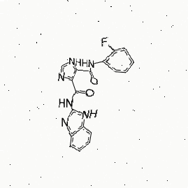 O=C(Nc1nc2ccccc2[nH]1)c1nc[nH]c1C(=O)Nc1ccccc1F